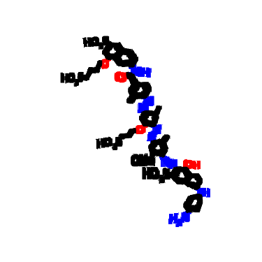 COc1cc(N=Nc2cc(C)c(N=Nc3ccc(C(=O)Nc4ccc5cc(S(=O)(=O)O)cc(OCCCCS(=O)(=O)O)c5c4)cc3C)cc2OCCCS(=O)(=O)O)c(C)cc1N=Nc1c(S(=O)(=O)O)cc2cc(Nc3ccc(N)cc3)ccc2c1O